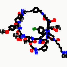 CNCCCCCC(=O)NCC1NC(=O)[C@H](C)NC(=O)CCC(=O)N2CCCCCCn3cc(c4cc(F)ccc43)CC3NC(=O)[C@H](Cc4cccc(c4)CNC(=O)CO[C@H]4CCN(C3=O)C4C(=O)NC([C@@H](C)O)C(=O)N[C@@H](Cc3ccc(OC)cc3)C(=O)N3CCC[C@@]3(C)C(=O)NCCc3ccc(cc3)C2)NC1=O